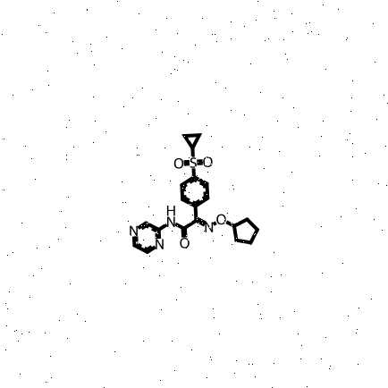 O=C(Nc1cnccn1)/C(=N/OC1CCCC1)c1ccc(S(=O)(=O)C2CC2)cc1